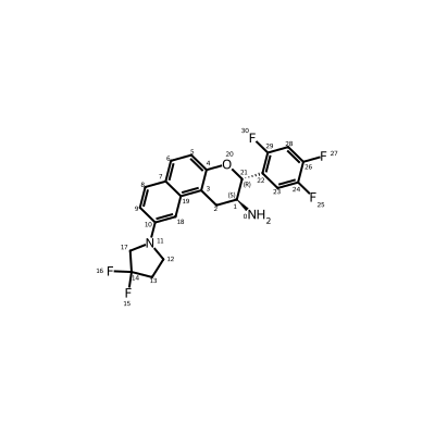 N[C@H]1Cc2c(ccc3ccc(N4CCC(F)(F)C4)cc23)O[C@@H]1c1cc(F)c(F)cc1F